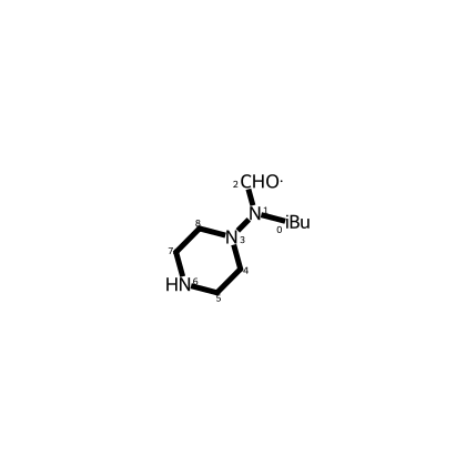 CCC(C)N([C]=O)N1CCNCC1